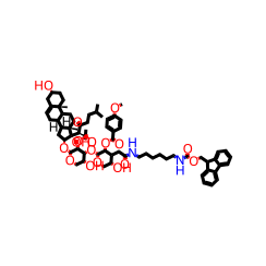 COc1ccc(C(=O)OC2C(OC3C(O)COC(O[C@H]4C[C@H]5[C@@H]6CC=C7C[C@@H](O)CC[C@]7(C)C6CC[C@]5(C)[C@@]4(O)[C@H](C)C(=O)CCC(C)C)C3OC(C)=O)OCC(O)C2CC(=O)NCCCCCCNC(=O)OCC2c3ccccc3-c3ccccc32)cc1